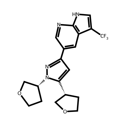 FC(F)(F)c1c[nH]c2ncc(-c3cc([C@@H]4CCOC4)n([C@@H]4CCOC4)n3)cc12